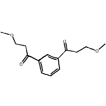 COCCC(=O)c1c[c]cc(C(=O)CCOC)c1